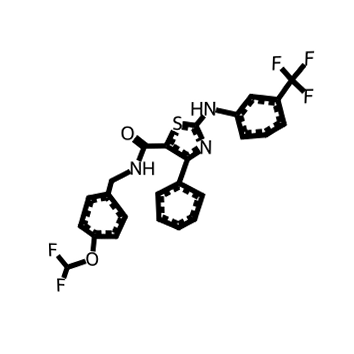 O=C(NCc1ccc(OC(F)F)cc1)c1sc(Nc2cccc(C(F)(F)F)c2)nc1-c1ccccc1